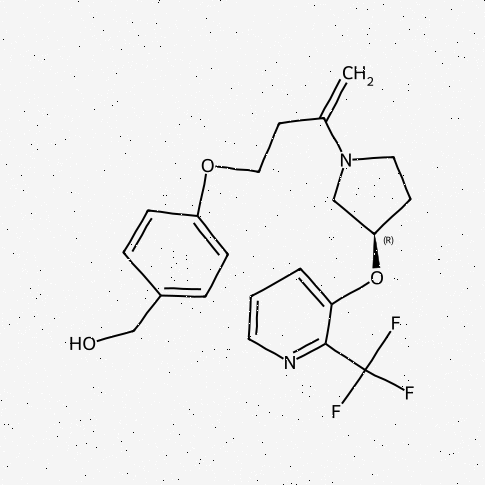 C=C(CCOc1ccc(CO)cc1)N1CC[C@@H](Oc2cccnc2C(F)(F)F)C1